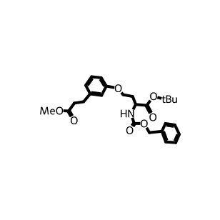 COC(=O)CCc1cccc(OCCC(NC(=O)OCc2ccccc2)C(=O)OC(C)(C)C)c1